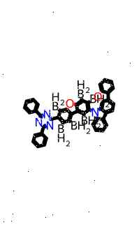 Bc1c(-n2c3ccccc3c3ccc4c5ccccc5oc4c32)c(B)c2c(oc3c(B)c(-c4nc(-c5ccccc5)nc(-c5ccccc5)n4)c(B)c(B)c32)c1B